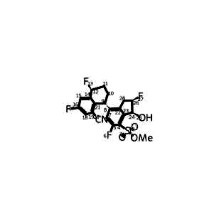 COS(=O)(=O)c1c(F)cc([C@H]2CC[C@H](F)c3cc(F)cc(C#N)c32)c2c1[C@H](O)[C@H](F)C2